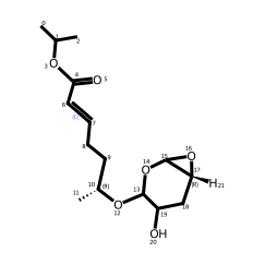 CC(C)OC(=O)/C=C/CC[C@@H](C)OC1OC2O[C@@H]2CC1O